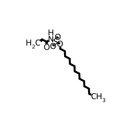 C=CC(=O)NS(=O)(=O)OCCCCCCCCCCCCCC